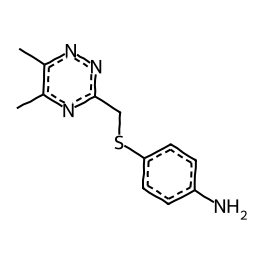 Cc1nnc(CSc2ccc(N)cc2)nc1C